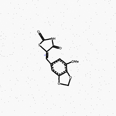 COc1cc(/C=C2/SC(=O)NC2=O)cc2c1OCO2